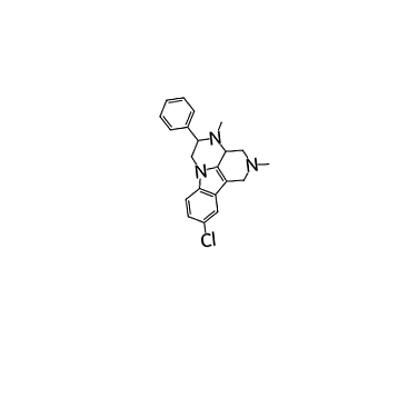 CN1Cc2c3n(c4ccc(Cl)cc24)CC(c2ccccc2)N(C)C3C1